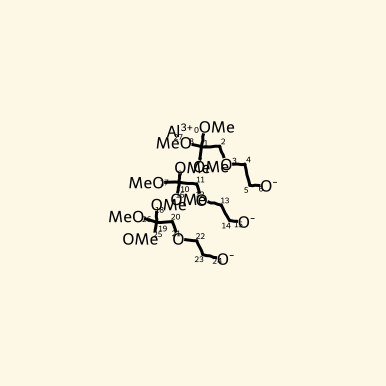 COC(COCC[O-])(OC)OC.COC(COCC[O-])(OC)OC.COC(COCC[O-])(OC)OC.[Al+3]